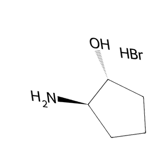 Br.N[C@@H]1CCC[C@H]1O